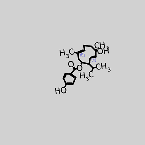 C/C1=C\CCC(C)(O)/C=C/C(C(C)C)C(OC(=O)c2ccc(O)cc2)C1